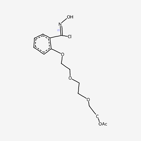 CC(=O)OCCOCCOCCOc1ccccc1/C(Cl)=N/O